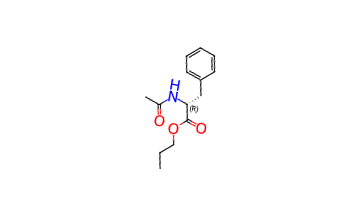 CCCOC(=O)[C@@H](Cc1ccccc1)NC(C)=O